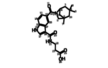 CC1(C)CC2CC(C)(CN2C(=O)c2ccc3[nH]cc(C(=O)NCCC(=O)O)c3c2)C1